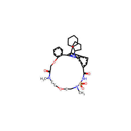 CN1CCOCCN(C)S(=O)(=O)NC(=O)c2ccc3c(C4CCCCC4)c(n(C4CCCC4)c3c2)-c2ccccc2OCC1=O